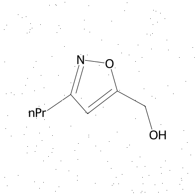 CCCc1cc(CO)on1